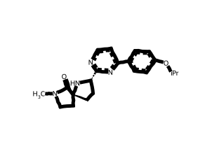 CC(C)Oc1ccc(-c2ccnc([C@@H]3CC[C@]4(CCN(C)C4=O)N3)n2)cc1